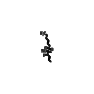 CC=CC(F)C(C)(C#N)S(=O)(=O)CC=CCCC(F)(F)F